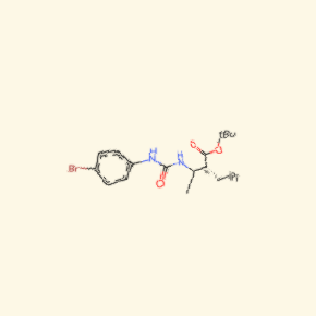 CC(C)C[C@@H](C(=O)OC(C)(C)C)C(C)NC(=O)Nc1ccc(Br)cc1